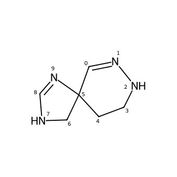 C1=NNCCC12CNC=N2